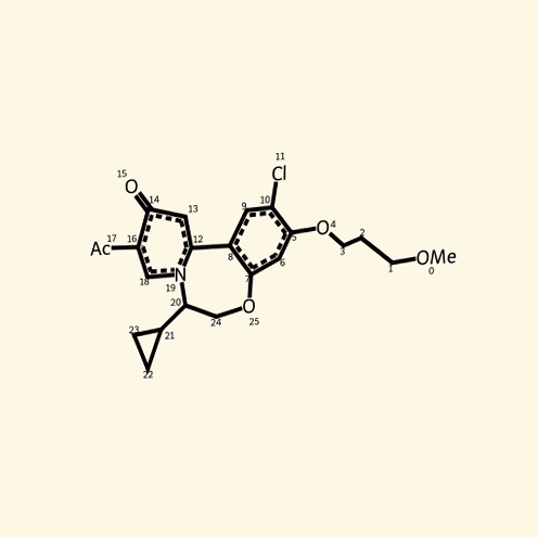 COCCCOc1cc2c(cc1Cl)-c1cc(=O)c(C(C)=O)cn1C(C1CC1)CO2